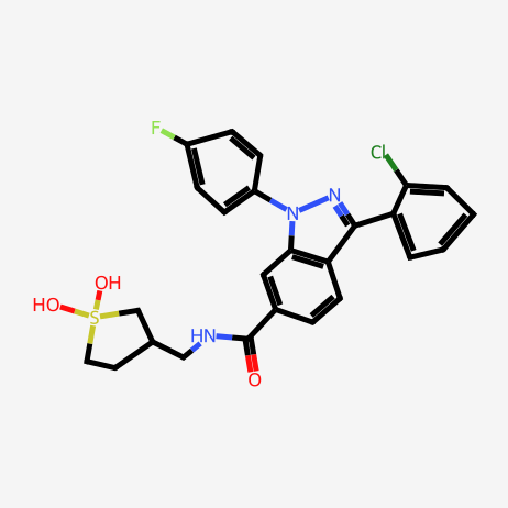 O=C(NCC1CCS(O)(O)C1)c1ccc2c(-c3ccccc3Cl)nn(-c3ccc(F)cc3)c2c1